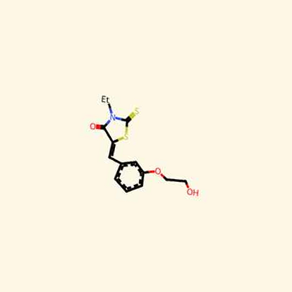 CCN1C(=O)C(=Cc2cccc(OCCO)c2)SC1=S